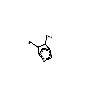 CSC1c2csc(c2)C1C(C)C